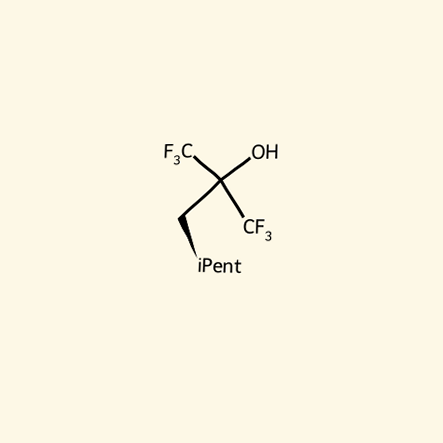 CCC[C@H](C)CC(O)(C(F)(F)F)C(F)(F)F